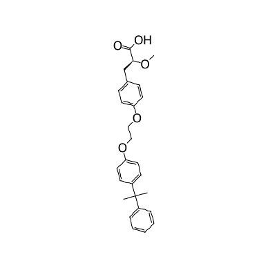 CO[C@@H](Cc1ccc(OCCOc2ccc(C(C)(C)c3ccccc3)cc2)cc1)C(=O)O